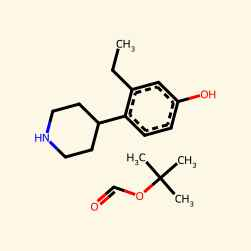 CC(C)(C)OC=O.CCc1cc(O)ccc1C1CCNCC1